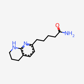 NC(=O)CCCCc1ccc2c(n1)NCCC2